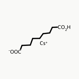 O=C([O-])CCCCCCCC(=O)O.[Cs+]